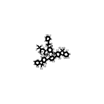 CC(C)(C)c1ccc(N2B3c4cc5nc(-c6ccccc6)sc5cc4-n4c5cc6c(cc5c5ccc(c3c54)-c3cc4c(cc32)-c2ccccc2C4(C)C)-c2ccccc2C6(C)C)cc1